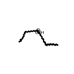 CCCCCCCC/C=C\CCCCCCCCNS(=O)(=O)CCCCCCCC/C=C\CCCCCCCC